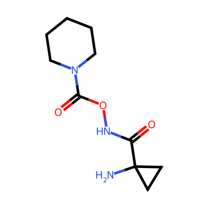 NC1(C(=O)NOC(=O)N2CCCCC2)CC1